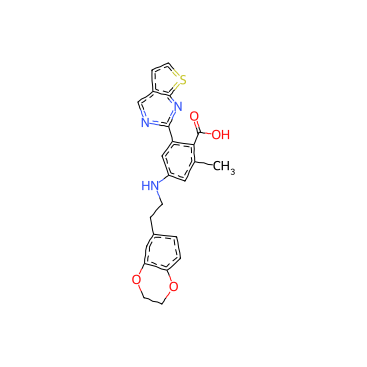 Cc1cc(NCCc2ccc3c(c2)OCCO3)cc(-c2ncc3ccsc3n2)c1C(=O)O